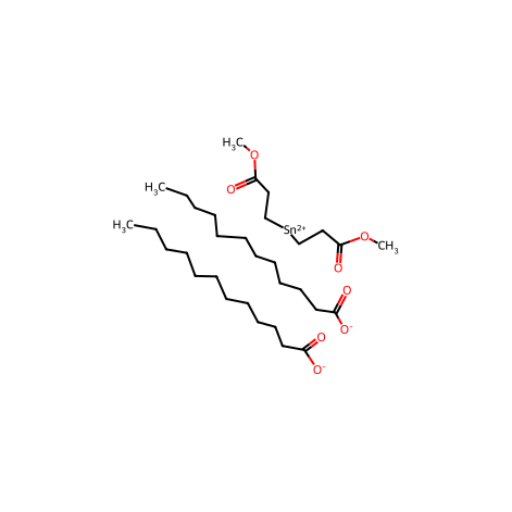 CCCCCCCCCCCC(=O)[O-].CCCCCCCCCCCC(=O)[O-].COC(=O)C[CH2][Sn+2][CH2]CC(=O)OC